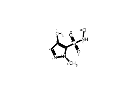 Cc1cnn(C)c1S(=O)(=O)NCl